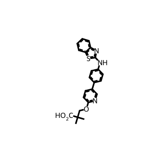 CC(C)(COc1ccc(-c2ccc(Nc3nc4ccccc4s3)cc2)cn1)C(=O)O